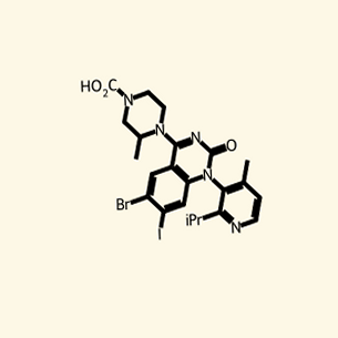 Cc1ccnc(C(C)C)c1-n1c(=O)nc(N2CCN(C(=O)O)CC2C)c2cc(Br)c(I)cc21